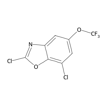 FC(F)(F)Oc1cc(Cl)c2oc(Cl)nc2c1